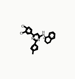 Cc1ccc(-c2nc(N[C@@H]3CCCc4ccccc43)cc(-c3ccc(Cl)c(Cl)c3)n2)cc1